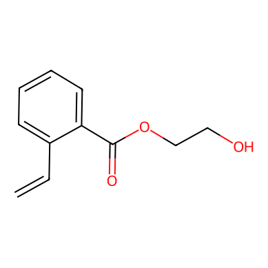 C=Cc1ccccc1C(=O)OCCO